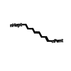 [CH2]CCCCCCCCCC=CCC=CCCCCC